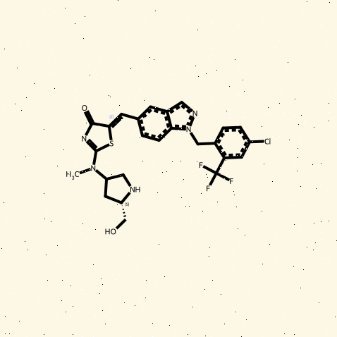 CN(C1=NC(=O)/C(=C/c2ccc3c(cnn3Cc3ccc(Cl)cc3C(F)(F)F)c2)S1)C1CN[C@H](CO)C1